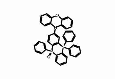 O=P1(c2ccccc2)c2ccccc2S(c2ccccc2)(c2ccccc2)c2cc(N3c4ccccc4Oc4ccccc43)ccc21